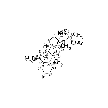 CC(=O)OC(C)(C)O[C@]1(C(C)=O)CC[C@H]2[C@@H]3C=C(C)C4=CCCC[C@]4(C)[C@H]3CC[C@@]21C